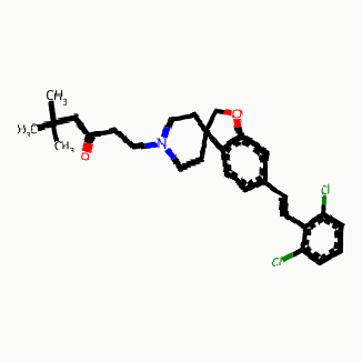 CC(C)(C)CC(=O)CCN1CCC2(CC1)COc1cc(/C=C/c3c(Cl)cccc3Cl)ccc12